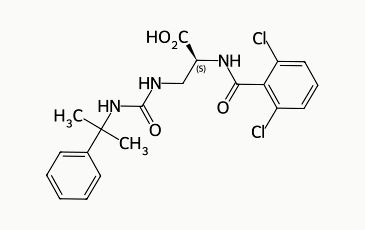 CC(C)(NC(=O)NC[C@H](NC(=O)c1c(Cl)cccc1Cl)C(=O)O)c1ccccc1